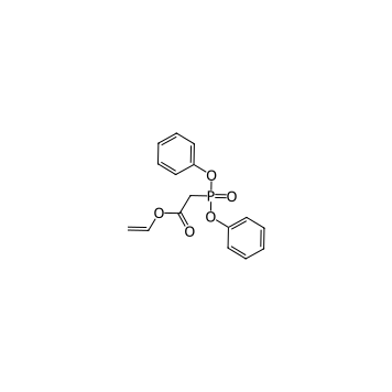 C=COC(=O)CP(=O)(Oc1ccccc1)Oc1ccccc1